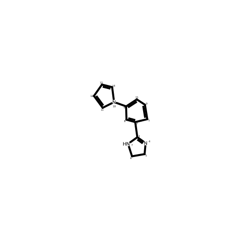 c1cc(C2=NCCN2)cc(-n2cccc2)c1